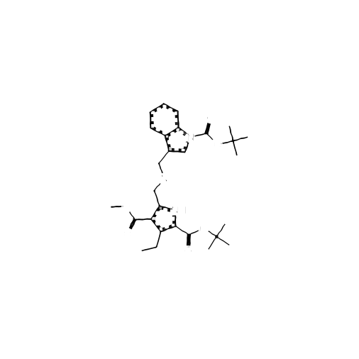 CCc1c(C(=O)OC(C)(C)C)[nH]c(CNCc2cn(C(=O)OC(C)(C)C)c3ccccc23)c1C(=O)OC